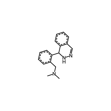 CN(C)Cc1ccccc1C1NN=Cc2ccccc21